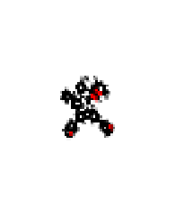 CC(C)(C)c1ccc(N2c3c(oc4cc5c(cc34)C(C)(C)CCC5(C)C)B3c4c(cc5c(sc6ccccc65)c42)-c2cc(C45CC6CC(CC(C6)C4)C5)cc4c5cc(C67CC8CC(CC(C8)C6)C7)ccc5n3c24)c(-c2ccccc2)c1